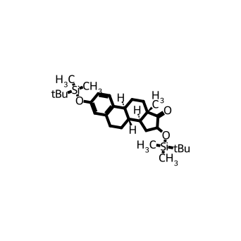 CC(C)(C)[Si](C)(C)Oc1ccc2c(c1)CC[C@@H]1[C@@H]2CC[C@]2(C)C(=O)C(O[Si](C)(C)C(C)(C)C)C[C@@H]12